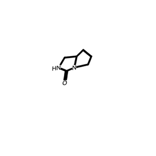 O=C1NCC2CCCN12